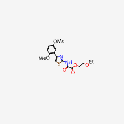 CCOCCOC(=O)C(=O)Nc1nc(-c2cc(OC)ccc2OC)cs1